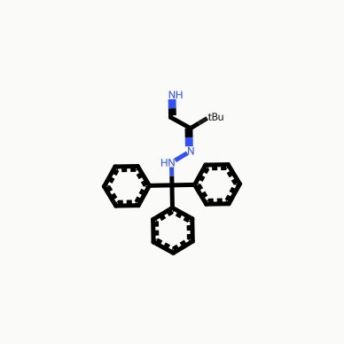 CC(C)(C)/C(C=N)=N/NC(c1ccccc1)(c1ccccc1)c1ccccc1